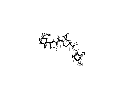 COc1cc(/C(N)=C/C(=N)C(=O)N2CCC(C(=O)NCc3ncc(C#N)cc3Cl)CC23CC3)c(F)cn1